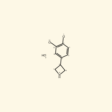 Cl.Clc1ccc(C2CNC2)cc1Cl